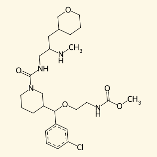 CNC(CNC(=O)N1CCCC(C(OCCNC(=O)OC)c2cccc(Cl)c2)C1)CC1CCCOC1